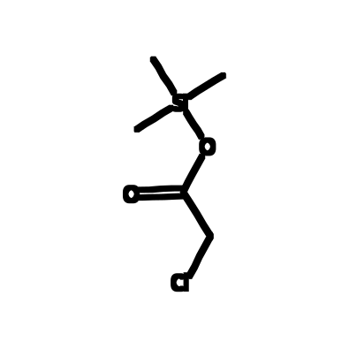 C[Si](C)(C)OC(=O)CCl